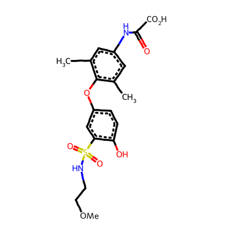 COCCNS(=O)(=O)c1cc(Oc2c(C)cc(NC(=O)C(=O)O)cc2C)ccc1O